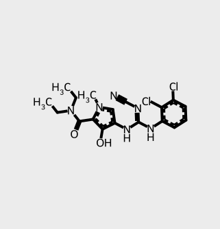 CCN(CC)C(=O)c1c(O)c(NC(=NC#N)Nc2cccc(Cl)c2Cl)cn1C